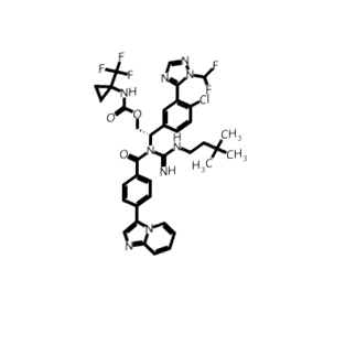 CC(C)(C)CCNC(=N)N(C(=O)c1ccc(-c2cnc3ccccn23)cc1)[C@H](COC(=O)NC1(C(F)(F)F)CC1)c1ccc(Cl)c(-c2ncnn2C(F)F)c1